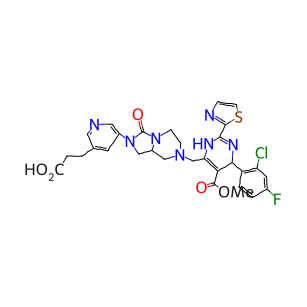 COC(=O)C1=C(CN2CCN3C(=O)N(c4cncc(CCC(=O)O)c4)CC3C2)NC(c2nccs2)=NC1c1ccc(F)cc1Cl